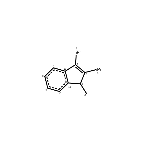 C[C]1C(C(C)C)=C(C(C)C)c2ccccc21